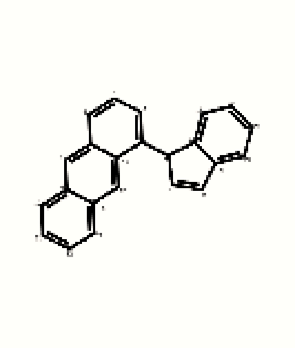 C1=CC(c2cccc3cc4ccccc4cc23)c2ccccc21